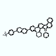 C[Si](C)(C)c1ccc(-c2ccc3cc(-c4ccc5c(c4)c4ccccc4c4c5ccc5c6c7ccccc7ccc6n(-c6ccccc6)c54)ccc3c2)cc1